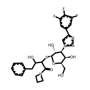 O=C(C(S[C@@H]1O[C@H](CO)[C@H](O)[C@H](n2cc(-c3cc(F)c(F)c(F)c3)nn2)[C@H]1O)C(O)Cc1ccccc1)N1CCC1